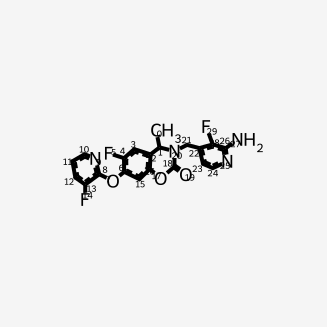 CC1c2cc(F)c(Oc3ncccc3F)cc2OC(=O)N1Cc1ccnc(N)c1F